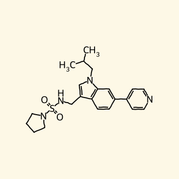 CC(C)Cn1cc(CNS(=O)(=O)N2CCCC2)c2ccc(-c3ccncc3)cc21